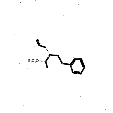 C=CC[C@H](CCc1ccccc1)[C@H](C)C(=O)OCC